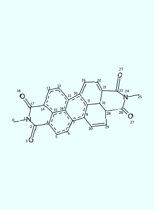 CN1C(=O)c2ccc3c4c5c(c6ccc(c2c36)C1=O)=CC=C1C(=O)N(C)C(=O)C(C=C4)C15